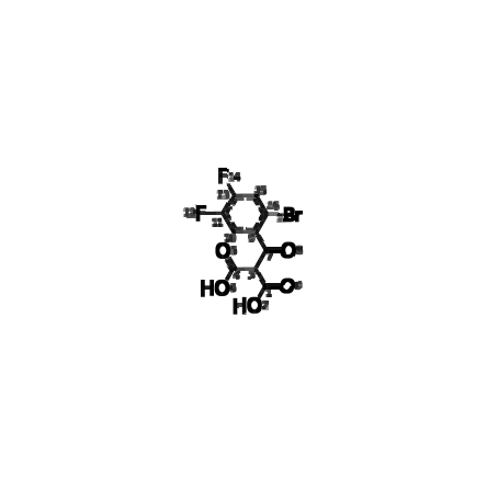 O=C(O)C(C(=O)O)C(=O)c1cc(F)c(F)cc1Br